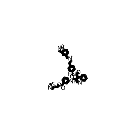 CN(CCc1ccc(NC(=O)c2c(C(=O)Nc3cccc(C(=O)OCc4cncs4)c3)cnc3ccccc23)cc1)Cc1ccc2c(cnn2C)c1